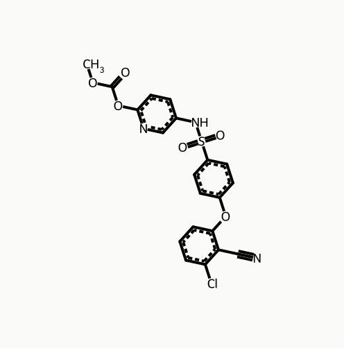 COC(=O)Oc1ccc(NS(=O)(=O)c2ccc(Oc3cccc(Cl)c3C#N)cc2)cn1